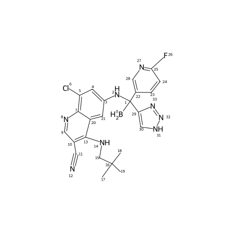 BC(Nc1cc(Cl)c2ncc(C#N)c(NCC(C)(C)C)c2c1)(c1ccc(F)nc1)c1c[nH]nn1